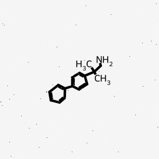 CC(C)(CN)c1ccc(-c2c[c]ccc2)cc1